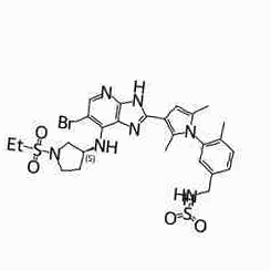 CCS(=O)(=O)N1CC[C@H](Nc2c(Br)cnc3[nH]c(-c4cc(C)n(-c5cc(CN[SH](=O)=O)ccc5C)c4C)nc23)C1